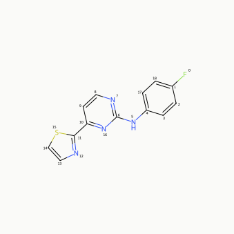 Fc1ccc(Nc2nccc(-c3nccs3)n2)cc1